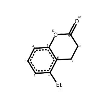 CCc1cccc2c1CCC(=O)O2